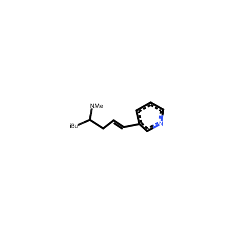 CCC(C)C(CC=Cc1cccnc1)NC